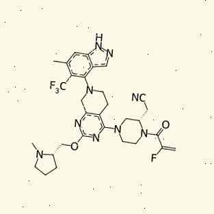 C=C(F)C(=O)N1CCN(c2nc(OC[C@@H]3CCCN3C)nc3c2CCN(c2c(C(F)(F)F)c(C)cc4[nH]ncc24)C3)C[C@@H]1CC#N